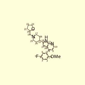 COc1ccc(F)cc1-c1ccnc2[nH]c(C3CCN(CC4CCCO4)CC3)cc12